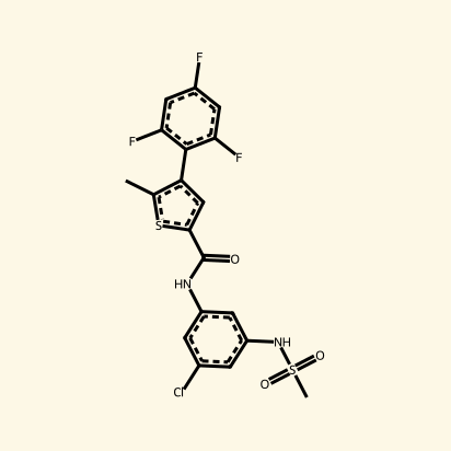 Cc1sc(C(=O)Nc2cc(Cl)cc(NS(C)(=O)=O)c2)cc1-c1c(F)cc(F)cc1F